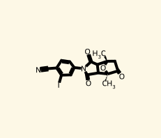 C[C@]12O[C@@](C)(CC1=O)C1C(=O)N(c3ccc(C#N)c(I)c3)C(=O)C12